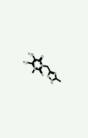 CC1N=C(Cn2c(=O)c(N)c(N)n(C)c2=O)ON1